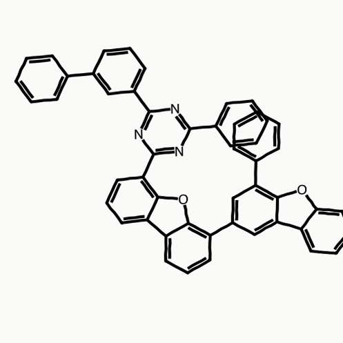 c1ccc(-c2cccc(-c3nc(-c4ccccc4)nc(-c4cccc5c4oc4c(-c6cc(-c7ccccc7)c7oc8ccccc8c7c6)cccc45)n3)c2)cc1